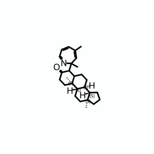 CC1=CC(C)(C2C(=O)CC[C@@]3(C)C2CC[C@H]2[C@@H]4CCC[C@@]4(C)CC[C@@H]23)N=CC=C1